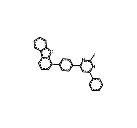 Ic1nc(-c2ccccc2)cc(-c2ccc(-c3cccc4c3oc3ccccc34)cc2)n1